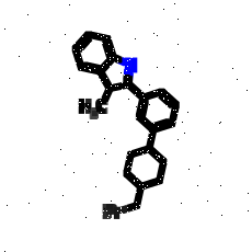 CC(C)CC1CCC(c2cccc(C3=Nc4ccccc4C3C)c2)CC1